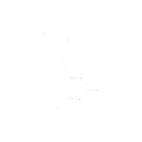 C[Si](C)(C)C#Cc1cc(F)cc(C#N)c1